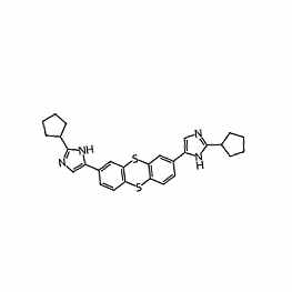 c1cc2c(cc1-c1cnc(C3CCCC3)[nH]1)Sc1cc(-c3cnc(C4CCCC4)[nH]3)ccc1S2